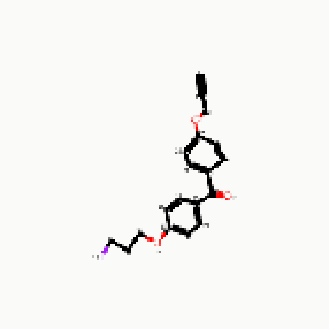 C#CCOc1ccc(C(=O)c2ccc(OCCCI)cc2)cc1